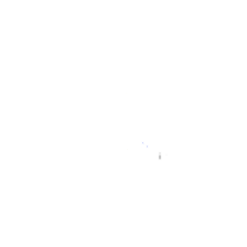 CC(C)N(SCCS)SCCS